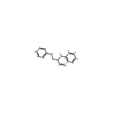 S=[C]C(CSc1ccncc1)Sc1ccccn1